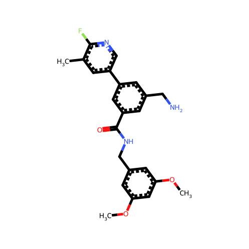 COc1cc(CNC(=O)c2cc(CN)cc(-c3cnc(F)c(C)c3)c2)cc(OC)c1